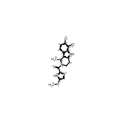 COc1cnc(C(=O)N2CCc3[nH]c4c(Cl)c(Cl)ccc4c3[C@@H]2C)[nH]1